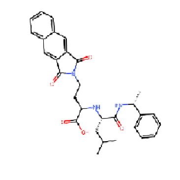 CC(C)C[C@H](N[C@H](CCN1C(=O)c2cc3ccccc3cc2C1=O)C(=O)O)C(=O)N[C@H](C)c1ccccc1